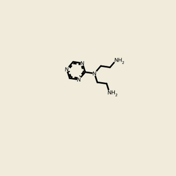 NCCN(CCN)c1ncncn1